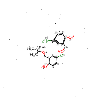 CC(C)(C)[Si](C)(C)OCc1cc(Cl)ccc1O.OCc1cc(Cl)ccc1O